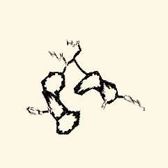 CCn1c2ccccc2c2cc(N(N)/C(=C\N)c3ccc4[nH]c(C)cc4c3)ccc21